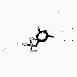 CO[Si](O)(Cc1cc(F)cc(F)c1)OC